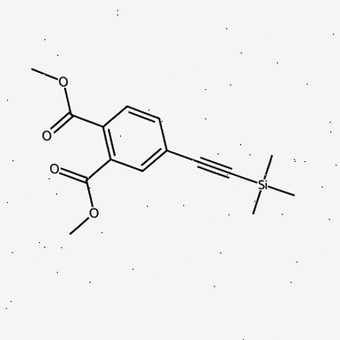 COC(=O)c1ccc(C#C[Si](C)(C)C)cc1C(=O)OC